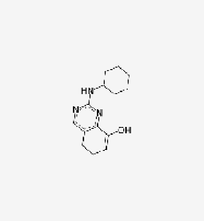 OC1=CCCc2cnc(NC3CCCCC3)nc21